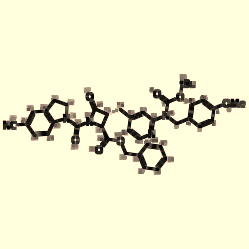 COc1ccc(CN(C(=O)OC(C)(C)C)c2cc(C[C@H]3C(=O)N(C(=O)N4CCc5cc(C#N)ccc54)[C@@H]3C(=O)OCc3ccccc3)ccn2)cc1